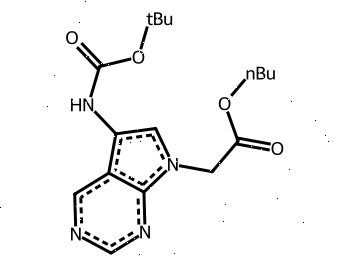 CCCCOC(=O)Cn1cc(NC(=O)OC(C)(C)C)c2cncnc21